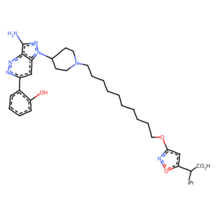 CC(C)C(C(=O)O)c1cc(OCCCCCCCCCCN2CCC(n3nc(N)c4nnc(-c5ccccc5O)cc43)CC2)no1